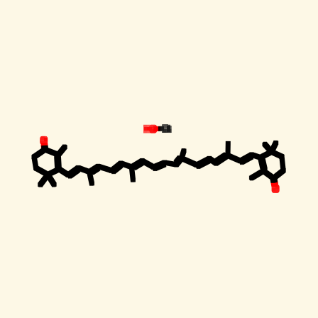 CC1=C(/C=C/C(C)=C/C=C/C(C)=C/C=C/C=C(C)/C=C/C=C(C)/C=C/C2=C(C)C(=O)CCC2(C)C)C(C)(C)CCC1=O.CCO